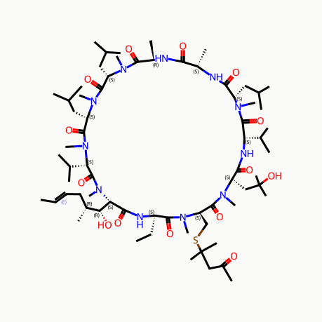 C/C=C/C[C@@H](C)[C@@H](O)[C@H]1C(=O)N[C@@H](CC)C(=O)N(C)[C@H](CSC(C)(C)CC(C)=O)C(=O)N(C)[C@@H](CC(C)(C)O)C(=O)N[C@@H](C(C)C)C(=O)N(C)[C@@H](CC(C)C)C(=O)N[C@@H](C)C(=O)N[C@H](C)C(=O)N(C)[C@@H](CC(C)C)C(=O)N(C)[C@@H](CC(C)C)C(=O)N(C)[C@@H](C(C)C)C(=O)N1C